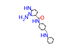 N=c1ccc(C(=O)Nc2ccc(CNc3ccccc3)cc2)cn1CN